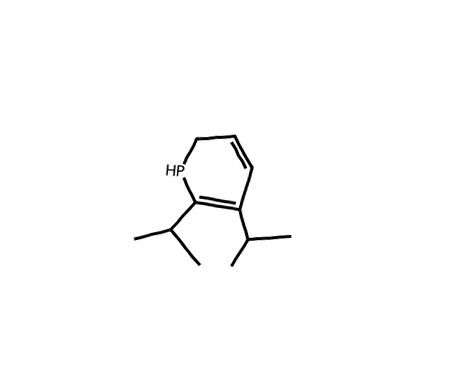 CC(C)C1=C(C(C)C)PCC=C1